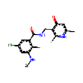 CCNc1cc(Cl)cc(C(=O)NCc2c(F)[nH]c(C)cc2=O)c1C